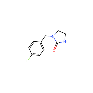 O=C1[N]CCN1Cc1ccc(F)cc1